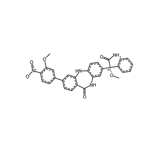 COc1cc(-c2ccc3c(c2)Nc2ccc([C@@](OC)(C(N)=O)c4ccccc4)cc2NC3=O)ccc1[N+](=O)[O-]